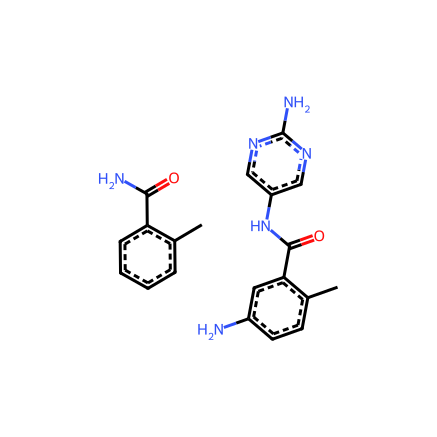 Cc1ccc(N)cc1C(=O)Nc1cnc(N)nc1.Cc1ccccc1C(N)=O